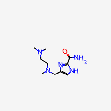 CN(C)CCN(C)Cc1c[nH]c(C(N)=O)n1